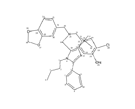 CCCCn1c(-c2ccccc2)nc(C(C)(C)C)c1CN(Cc1ccc(O)c(Cl)c1)Cc1ccc2c(c1)OCO2